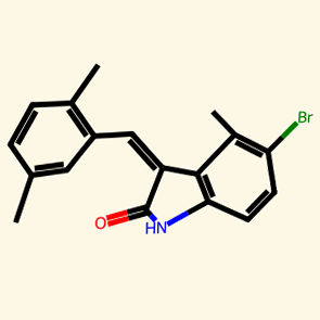 Cc1ccc(C)c(C=C2C(=O)Nc3ccc(Br)c(C)c32)c1